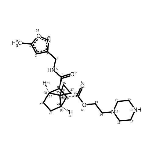 Cc1cc(CNC(=O)[C@H]2[C@H](C(=O)OCCN3CCNCC3)[C@H]3CC[C@@H]2C32CC2)no1